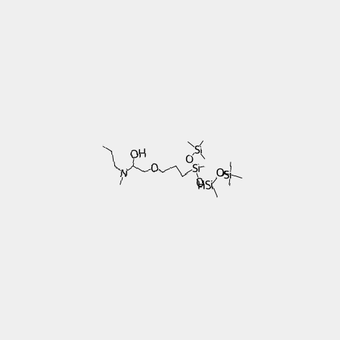 CCCN(C)C(O)COCCC[Si](C)(O[SiH](C)O[Si](C)(C)C)O[Si](C)(C)C